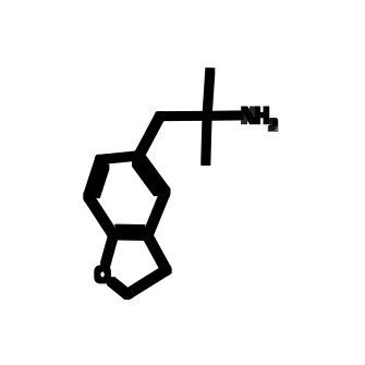 CC(C)(N)Cc1ccc2c(c1)CCO2